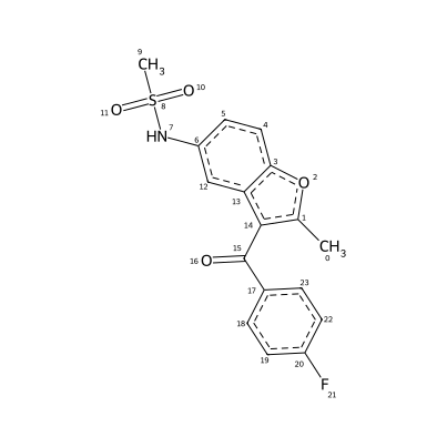 Cc1oc2ccc(NS(C)(=O)=O)cc2c1C(=O)c1ccc(F)cc1